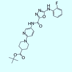 CC(C)(C)OC(=O)C1CCN(c2ccc(NC(=O)c3nnc(Nc4ccccc4F)o3)cn2)CC1